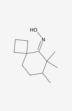 CC1CCC2(CCC2)/C(=N\O)C1(C)C